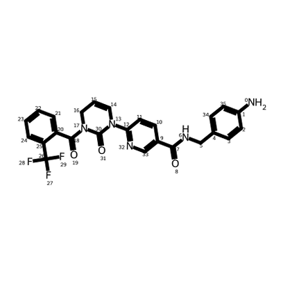 Nc1ccc(CNC(=O)c2ccc(N3C=CCN(C(=O)c4ccccc4C(F)(F)F)C3=O)nc2)cc1